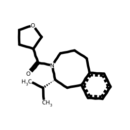 CC(C)[C@H]1Cc2ccccc2CCCN1C(=O)C1CCOC1